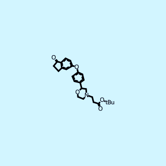 CC(C)(C)OC(=O)CCN1CCOC(c2ccc(Oc3ccc4c(c3)CCC4=O)cc2)C1